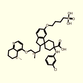 C[C@@H](COc1ccnc2c1[C@H](C)CCC2)CC1Cc2ccc(OCCCCP(=O)(O)O)cc2C12CCC(Nc1cccc(Cl)c1)(C(=O)O)CC2